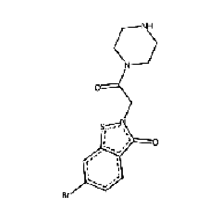 O=C(Cn1sc2cc(Br)ccc2c1=O)N1CCNCC1